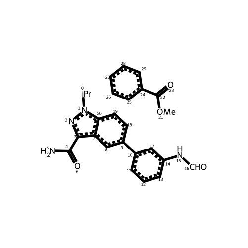 CC(C)n1nc(C(N)=O)c2cc(-c3cccc(NC=O)c3)ccc21.COC(=O)c1ccccc1